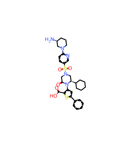 N[C@H]1CCCN(c2ccc(S(=O)(=O)N3CC(=O)N(c4cc(-c5ccccc5)sc4C(=O)O)[C@H](C4CCCCC4)C3)cn2)C1